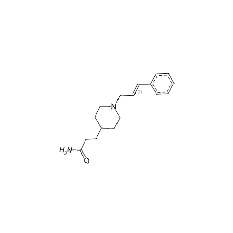 NC(=O)CCC1CCN(C/C=C/c2ccccc2)CC1